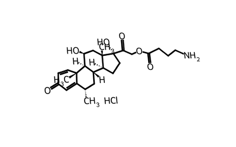 C[C@H]1C[C@@H]2[C@H]([C@@H](O)C[C@@]3(C)[C@H]2CC[C@]3(O)C(=O)COC(=O)CCCN)[C@@]2(C)C=CC(=O)C=C12.Cl